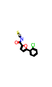 O=C(N=C=S)c1ccc(-c2ccccc2Cl)o1